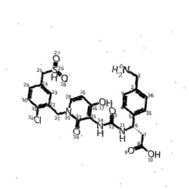 NCc1ccc([C@H](CC(=O)O)NC(=O)Nc2c(O)ccn(Cc3cc(C[SH](=O)=O)ccc3Cl)c2=O)cc1